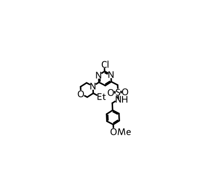 CCC1COCCN1c1cc(CS(=O)(=O)NCc2ccc(OC)cc2)nc(Cl)n1